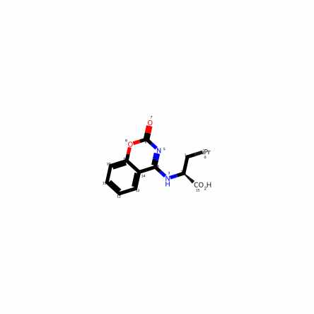 CC(C)C[C@H](Nc1nc(=O)oc2ccccc12)C(=O)O